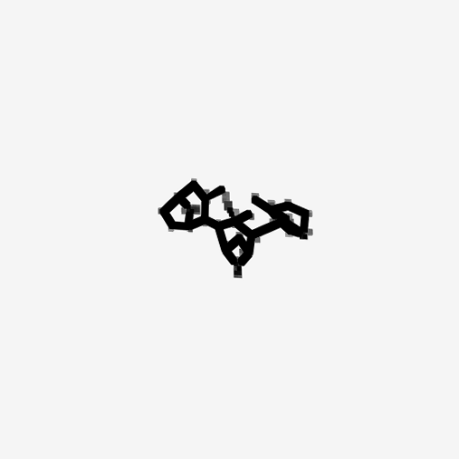 C[C@@H]1C(C2C3CCC(C[C@H]2C)N3)C2CC(N2)C1C1CN2CCC1(C)CC2